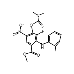 COC(=O)c1cc([N+](=O)[O-])c(OC(=S)N(C)C)c(F)c1Nc1ccccc1C